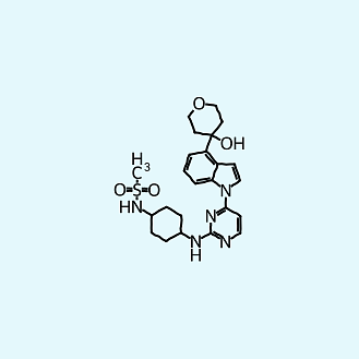 CS(=O)(=O)NC1CCC(Nc2nccc(-n3ccc4c(C5(O)CCOCC5)cccc43)n2)CC1